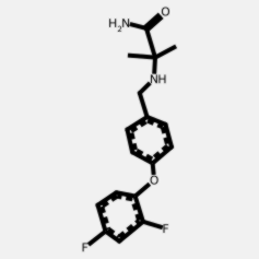 CC(C)(NCc1ccc(Oc2ccc(F)cc2F)cc1)C(N)=O